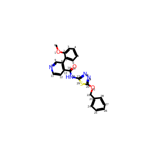 COc1ccccc1-c1cnccc1C(=O)Nc1nnc(OCc2ccccc2)s1